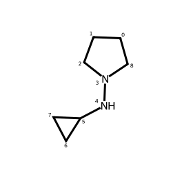 C1CCN(NC2CC2)C1